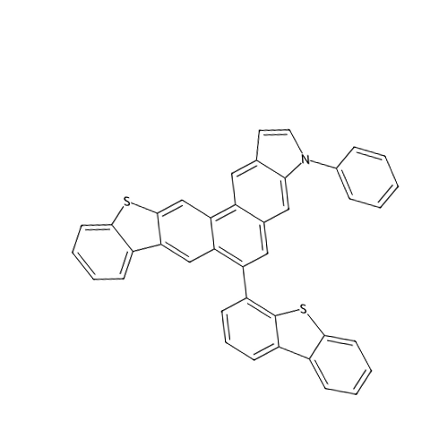 c1ccc(-n2ccc3cc4c(cc(-c5cccc6c5sc5ccccc56)c5cc6c(cc54)sc4ccccc46)cc32)cc1